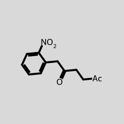 CC(=O)CCC(=O)Cc1ccccc1[N+](=O)[O-]